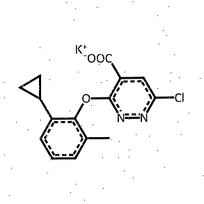 Cc1cccc(C2CC2)c1Oc1nnc(Cl)cc1C(=O)[O-].[K+]